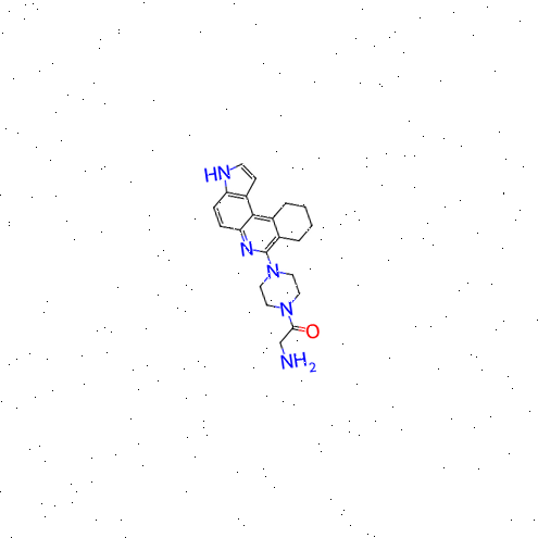 NCC(=O)N1CCN(c2nc3ccc4[nH]ccc4c3c3c2CCCC3)CC1